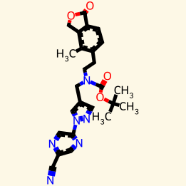 Cc1c(CCN(Cc2cnn(-c3cnc(C#N)cn3)c2)C(=O)OC(C)(C)C)ccc2c1COC2=O